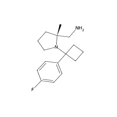 C[C@]1(CN)CCCN1C1(c2ccc(F)cc2)CCC1